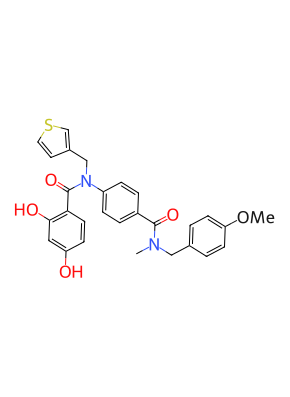 COc1ccc(CN(C)C(=O)c2ccc(N(Cc3ccsc3)C(=O)c3ccc(O)cc3O)cc2)cc1